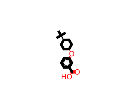 CC(C)(C)[C@H]1CC[C@H](Oc2cccc(C(=O)O)c2)CC1